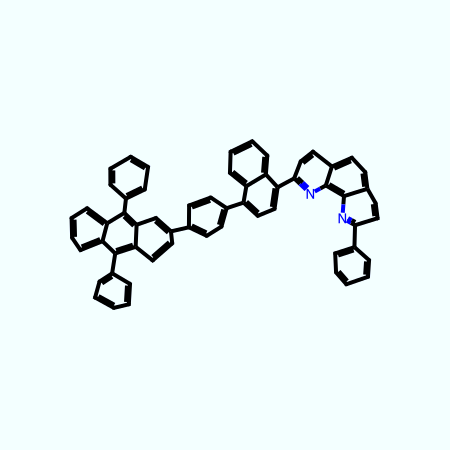 c1ccc(-c2ccc3ccc4ccc(-c5ccc(-c6ccc(-c7ccc8c(-c9ccccc9)c9ccccc9c(-c9ccccc9)c8c7)cc6)c6ccccc56)nc4c3n2)cc1